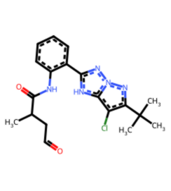 CC(CC=O)C(=O)Nc1ccccc1-c1nn2nc(C(C)(C)C)c(Cl)c2[nH]1